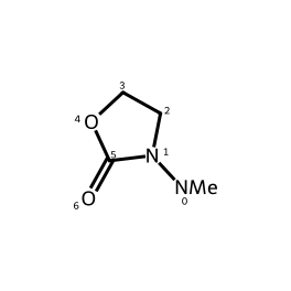 CNN1CCOC1=O